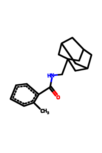 Cc1ccccc1C(=O)NCC12CC3CC(CC(C3)C1)C2